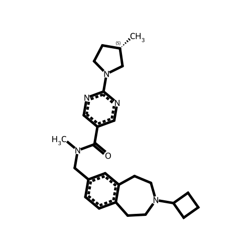 C[C@H]1CCN(c2ncc(C(=O)N(C)Cc3ccc4c(c3)CCN(C3CCC3)CC4)cn2)C1